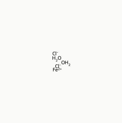 O.O.[Cl-].[Cl-].[Fe+2]